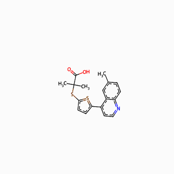 Cc1ccc2nccc(-c3ccc(SC(C)(C)C(=O)O)s3)c2c1